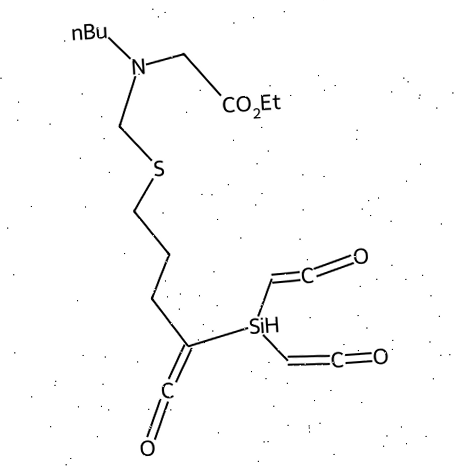 CCCCN(CSCCCC(=C=O)[SiH](C=C=O)C=C=O)CC(=O)OCC